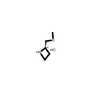 COC[C@H]1CCN1.Cl